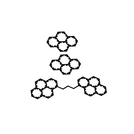 c1cc2ccc3ccc(CCCc4ccc5ccc6cccc7ccc4c5c67)c4ccc(c1)c2c34.c1cc2ccc3cccc4ccc(c1)c2c34.c1cc2ccc3cccc4ccc(c1)c2c34